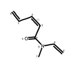 C=C/C=C\C(=O)N(C)C=C